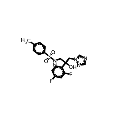 Cc1ccc(S(=O)(=O)NCC(O)(Cn2cncn2)c2ccc(F)cc2F)cc1